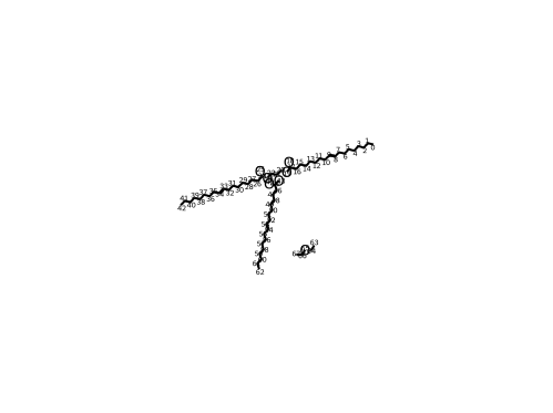 CCCCCCCC/C=C/CCCCCCCC(=O)OCC(COC(=O)CCCCCCC/C=C/CCCCCCCC)OC(=O)CCCCCCC/C=C/CCCCCCCC.CCOCC